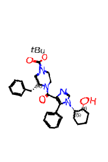 CC(C)(C)OC(=O)N1CCN(C(=O)c2ncn([C@H]3CCCC[C@H]3O)c2-c2ccccc2)[C@H](Cc2ccccc2)C1